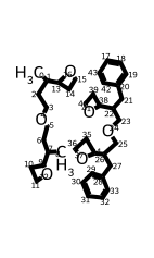 CC(CCOCCC(C)C1CCO1)C1CCO1.c1ccc(CC(COCC(Cc2ccccc2)C2CCO2)C2CCO2)cc1